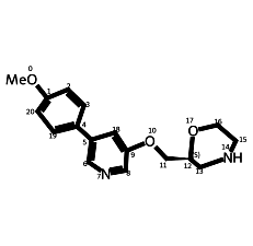 COc1ccc(-c2cncc(OC[C@@H]3CNCCO3)c2)cc1